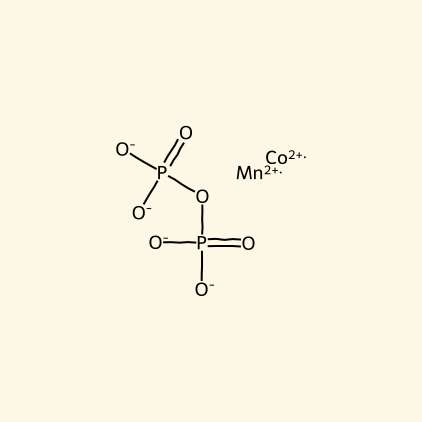 O=P([O-])([O-])OP(=O)([O-])[O-].[Co+2].[Mn+2]